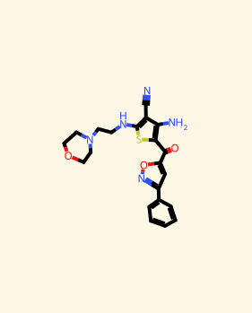 N#Cc1c(NCCN2CCOCC2)sc(C(=O)c2cc(-c3ccccc3)no2)c1N